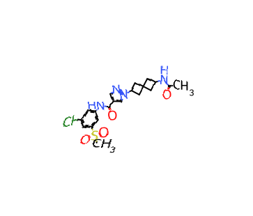 CC(=O)NC1CC2(C1)CC(n1cc(C(=O)Nc3cc(Cl)cc(S(C)(=O)=O)c3)cn1)C2